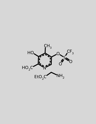 CCOC(=O)CN.Cc1c(OS(=O)(=O)C(F)(F)F)cnc(C(=O)O)c1O